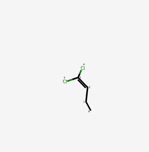 CC[C]=C(Cl)Cl